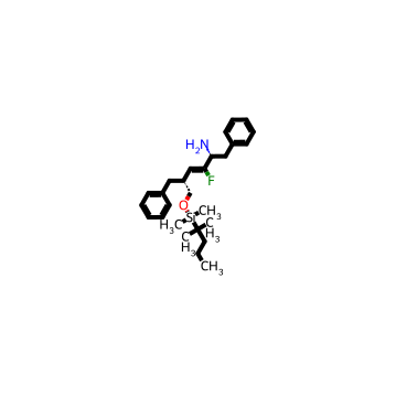 CCCC(C)(C)[Si](C)(C)OC[C@@H](/C=C(\F)[C@H](N)Cc1ccccc1)Cc1ccccc1